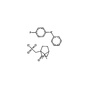 CC1(C)C2CCC1(CS(=O)(=O)[O-])C(=O)C2.Fc1ccc([I+]c2ccccc2)cc1